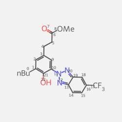 CCCCc1cc(CCC(=O)OC)cc(-n2nc3ccc(C(F)(F)F)cc3n2)c1O